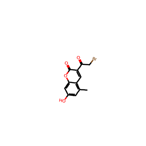 Cc1cc(O)cc2oc(=O)c(C(=O)CBr)cc12